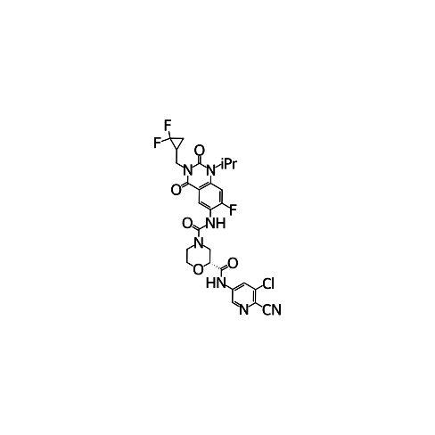 CC(C)n1c(=O)n(CC2CC2(F)F)c(=O)c2cc(NC(=O)N3CCO[C@@H](C(=O)Nc4cnc(C#N)c(Cl)c4)C3)c(F)cc21